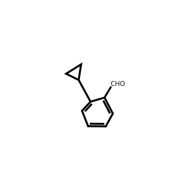 O=Cc1ccccc1C1CC1